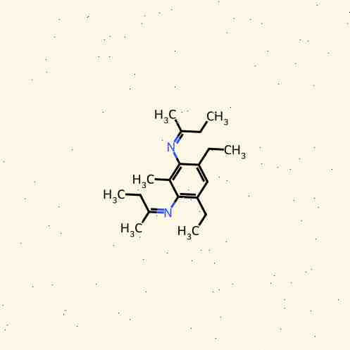 CCC(C)=Nc1c(CC)cc(CC)c(N=C(C)CC)c1C